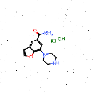 Cl.Cl.NC(=O)c1cc(N2CCNCC2)c2occc2c1